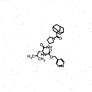 CC(C)C[C@H](NC(=O)OCc1ccncc1)C(=O)N[C@@H]1CCN(C(=O)C23CC4CC(CC(C4)C2)C3)C1